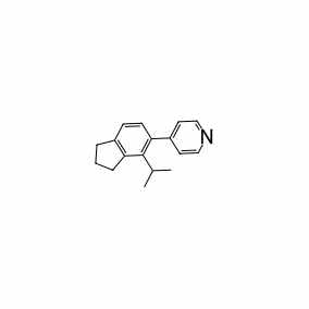 CC(C)c1c(-c2ccncc2)ccc2c1CCC2